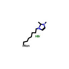 Br.CCCCCCCCCCCCCCCCN1C=CN(C)C1C